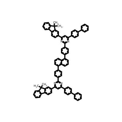 CC1(C)c2ccccc2-c2ccc(-c3cc(-c4ccc(-c5ccccc5)cc4)nc(-c4ccc(-c5cccc6c(-c7ccc(-c8nc(-c9ccc(-c%10ccccc%10)cc9)cc(-c9ccc%10c(c9)C(C)(C)c9ccccc9-%10)n8)cc7)cccc56)cc4)n3)cc21